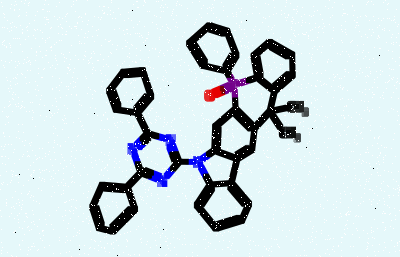 CC1(C)c2ccccc2P(=O)(c2ccccc2)c2cc3c(cc21)c1ccccc1n3-c1nc(-c2ccccc2)nc(-c2ccccc2)n1